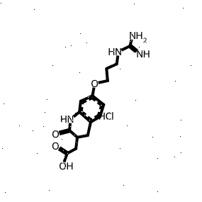 Cl.N=C(N)NCCCOc1ccc2c(c1)NC(=O)C(CC(=O)O)C2